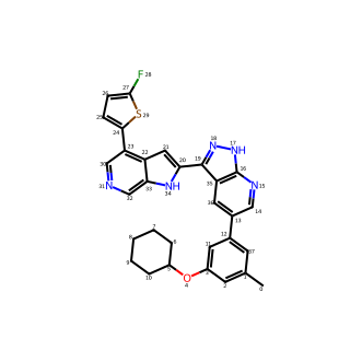 Cc1cc(OC2CCCCC2)cc(-c2cnc3[nH]nc(-c4cc5c(-c6ccc(F)s6)cncc5[nH]4)c3c2)c1